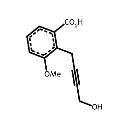 COc1cccc(C(=O)O)c1CC#CCO